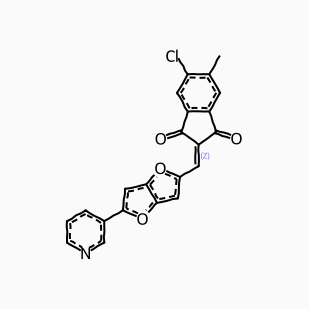 Cc1cc2c(cc1Cl)C(=O)/C(=C\c1cc3oc(-c4cccnc4)cc3o1)C2=O